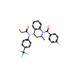 CCC(=O)N(c1ccc(C(F)(F)F)cc1)[C@H]1CC(C)N(C(=O)c2ccc(F)cc2)c2ccccc21